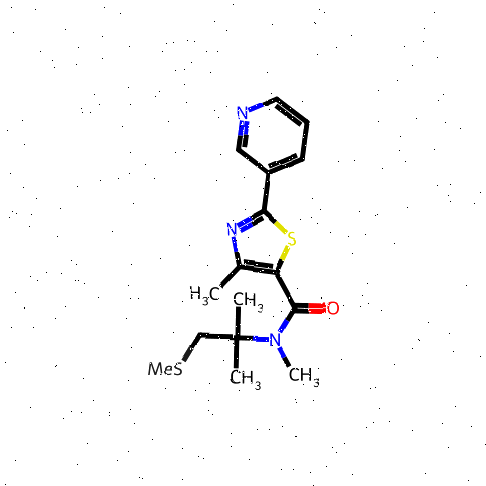 CSCC(C)(C)N(C)C(=O)c1sc(-c2cccnc2)nc1C